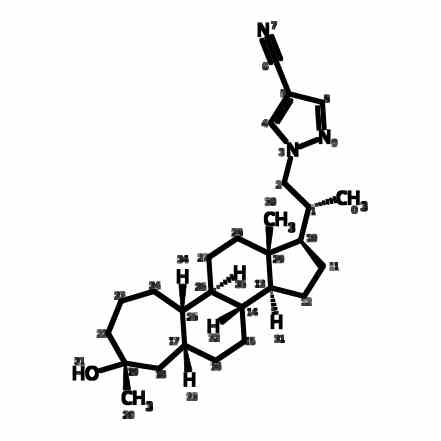 C[C@@H](Cn1cc(C#N)cn1)[C@H]1CC[C@H]2[C@@H]3CC[C@@H]4C[C@](C)(O)CCC[C@@H]4[C@H]3CC[C@]12C